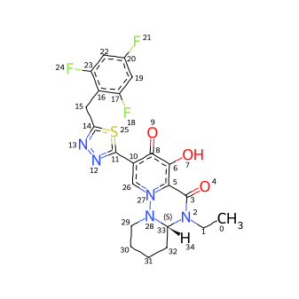 CCN1C(=O)c2c(O)c(=O)c(-c3nnc(Cc4c(F)cc(F)cc4F)s3)cn2N2CCCC[C@@H]12